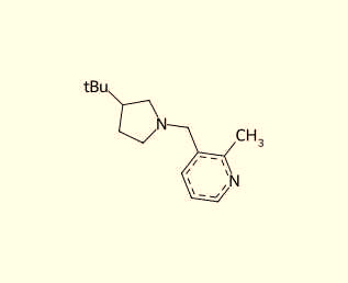 Cc1ncccc1CN1CCC(C(C)(C)C)C1